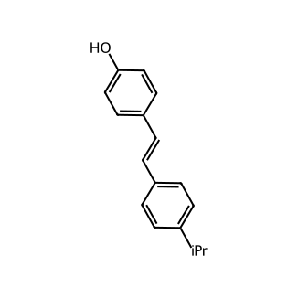 CC(C)c1ccc(/C=C/c2ccc(O)cc2)cc1